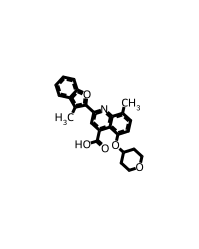 Cc1c(-c2cc(C(=O)O)c3c(OC4CCOCC4)ccc(C)c3n2)oc2ccccc12